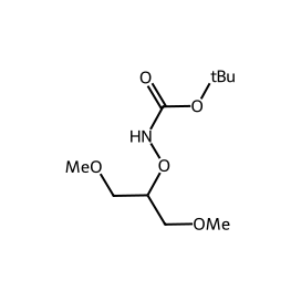 COCC(COC)ONC(=O)OC(C)(C)C